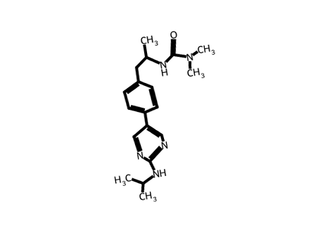 CC(C)Nc1ncc(-c2ccc(CC(C)NC(=O)N(C)C)cc2)cn1